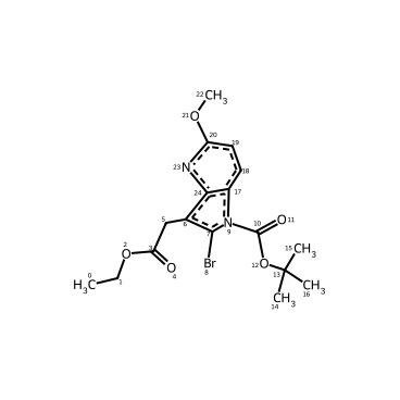 CCOC(=O)Cc1c(Br)n(C(=O)OC(C)(C)C)c2ccc(OC)nc12